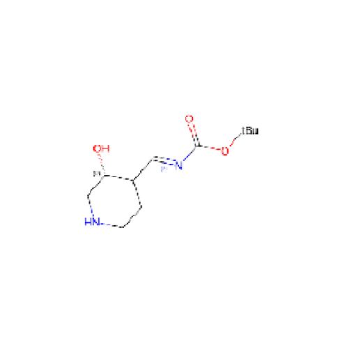 CC(C)(C)OC(=O)/N=C/C1CCNC[C@@H]1O